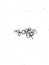 CCC1N(c2cccnc2C)C(=O)OC12CCC(C(=O)O)CC2